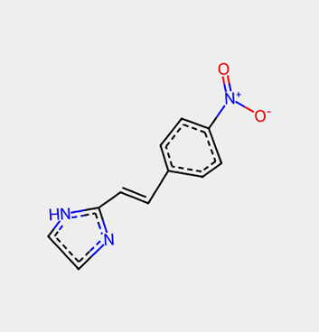 O=[N+]([O-])c1ccc(C=Cc2ncc[nH]2)cc1